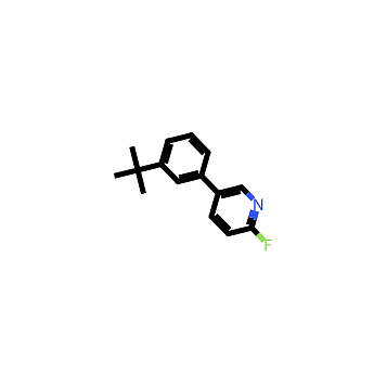 CC(C)(C)c1cccc(-c2ccc(F)nc2)c1